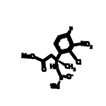 COC(=O)C[C@](C)(N[S@+]([O-])C(C)(C)C)c1ccc(F)c([N+](=O)[O-])c1Cl